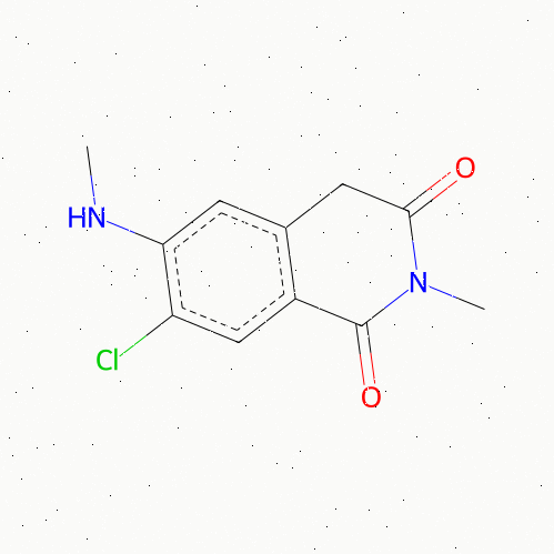 CNc1cc2c(cc1Cl)C(=O)N(C)C(=O)C2